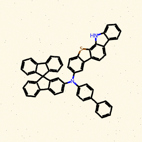 c1ccc(-c2ccc(N(c3ccc4c(c3)C3(c5ccccc5-c5ccccc53)c3ccccc3-4)c3ccc4sc5c(ccc6c7ccccc7[nH]c65)c4c3)cc2)cc1